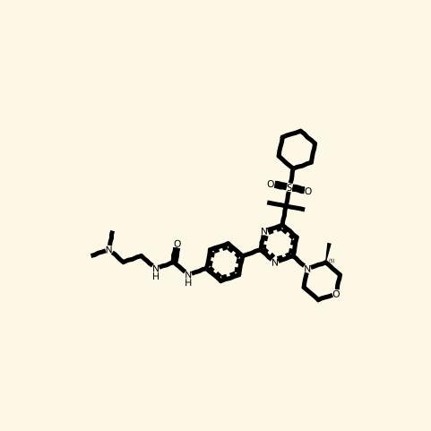 C[C@H]1COCCN1c1cc(C(C)(C)S(=O)(=O)C2CCCCC2)nc(-c2ccc(NC(=O)NCCN(C)C)cc2)n1